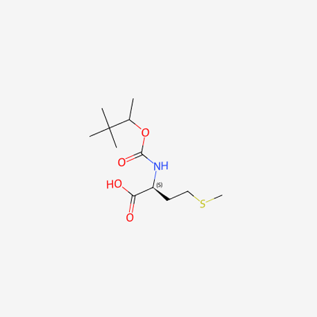 CSCC[C@H](NC(=O)OC(C)C(C)(C)C)C(=O)O